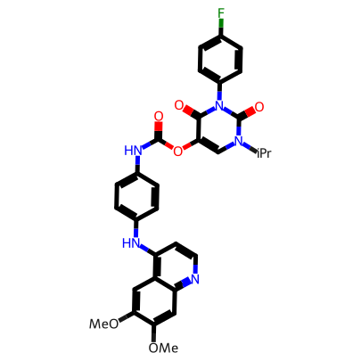 COc1cc2nccc(Nc3ccc(NC(=O)Oc4cn(C(C)C)c(=O)n(-c5ccc(F)cc5)c4=O)cc3)c2cc1OC